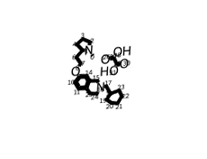 CN1CCCC1CCOc1ccc2c(c1)CN(CC1CCCCC1)CC2.O=C(O)C(=O)O